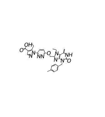 C=C1NC(=O)N(Cc2ccc(C)cc2)c2nc(COc3ccc(-n4ncc(C(=O)O)c4CC)nn3)n(CC)c21